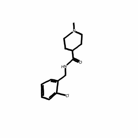 CN1CCC(C(=O)NCc2ccccc2Cl)CC1